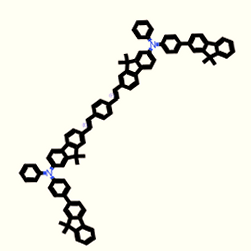 CC1(C)c2ccccc2-c2ccc(-c3ccc(N(c4ccccc4)c4ccc5c(c4)C(C)(C)c4cc(/C=C/c6ccc(/C=C/c7ccc8c(c7)C(C)(C)c7cc(N(c9ccccc9)c9ccc(-c%10ccc%11c(c%10)C(C)(C)c%10ccccc%10-%11)cc9)ccc7-8)cc6)ccc4-5)cc3)cc21